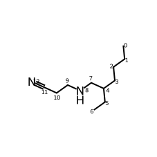 CCCCC(CC)CNCCC#N